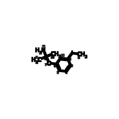 CCc1cccc(OC(C)(C)N)c1